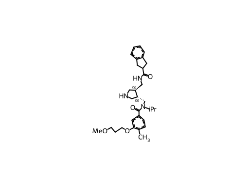 COCCCOc1cc(C(=O)N(C[C@@H]2CNC[C@H]2CNC(=O)C2Cc3ccccc3C2)C(C)C)ccc1C